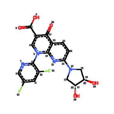 O=C(O)c1cn(-c2ncc(F)cc2F)c2nc(N3C[C@@H](O)[C@H](O)C3)ccc2c1=O